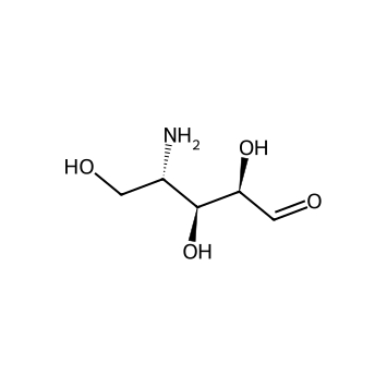 N[C@@H](CO)[C@H](O)[C@@H](O)C=O